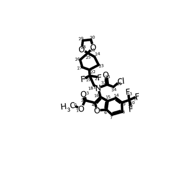 COC(=O)c1oc2ccc(C(F)(F)F)cc2c1N(CC(F)(F)C1CCC2(CC1)OCCO2)C(=O)CCl